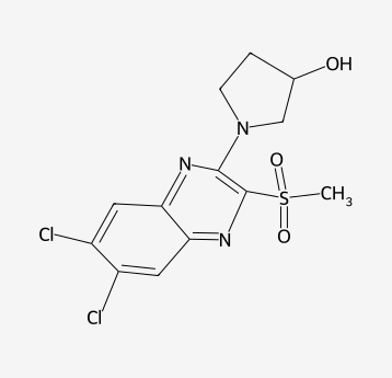 CS(=O)(=O)c1nc2cc(Cl)c(Cl)cc2nc1N1CCC(O)C1